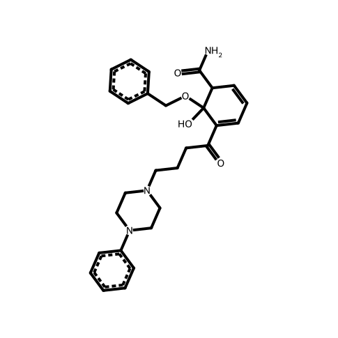 NC(=O)C1C=CC=C(C(=O)CCCN2CCN(c3ccccc3)CC2)C1(O)OCc1ccccc1